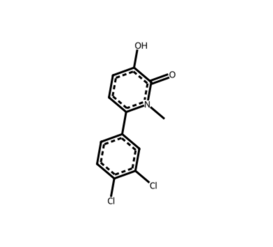 Cn1c(-c2ccc(Cl)c(Cl)c2)ccc(O)c1=O